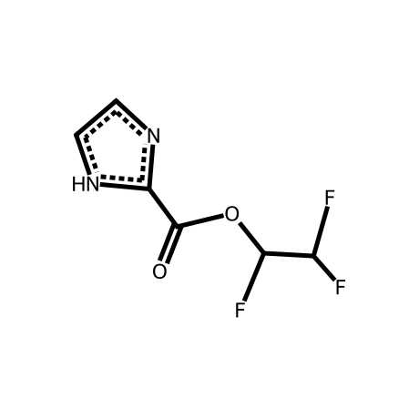 O=C(OC(F)C(F)F)c1ncc[nH]1